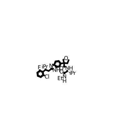 CCNC(=O)[C@H](NC(=O)C1(c2ccc3nc(CC(c4c(F)cccc4Cl)C(C)C)[nH]c3c2)CCOC1)C(C)C